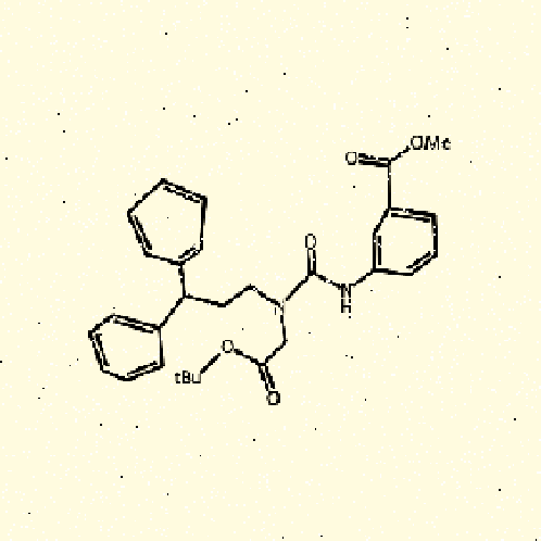 COC(=O)c1cccc(NC(=O)N(CCC(c2ccccc2)c2ccccc2)CC(=O)OC(C)(C)C)c1